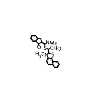 CN/C(S/C(C=O)=C1/Sc2c(ccc3ccccc23)N1C)=C1\Cc2ccccc2C1=O